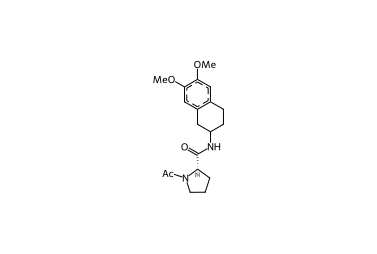 COc1cc2c(cc1OC)CC(NC(=O)[C@@H]1CCCN1C(C)=O)CC2